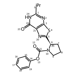 CC(C)c1nc2sc([C@H]3CCCN3C(=O)Oc3ccccc3)nc2c(=O)[nH]1